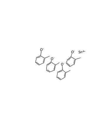 Cc1ccccc1[O-].Cc1ccccc1[O-].Cc1ccccc1[O-].Cc1ccccc1[O-].[Sn+4]